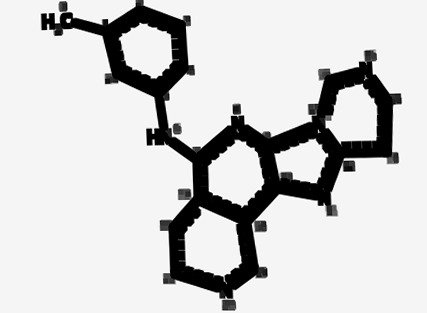 Cc1cccc(Nc2nc3c(nc4ccncn43)c3cnccc23)c1